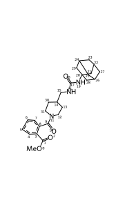 COC(=O)c1ccccc1C(=O)N1CCC(CNC(=O)NC23CC4CC(CC(C4)C2)C3)CC1